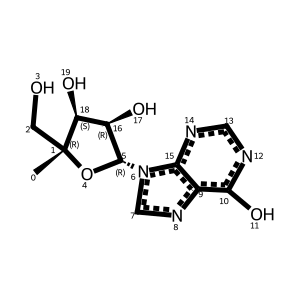 C[C@]1(CO)O[C@@H](n2cnc3c(O)ncnc32)[C@H](O)[C@@H]1O